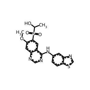 COc1cc2ncnc(Nc3ccc4scnc4c3)c2cc1S(=O)(=O)C(C)O